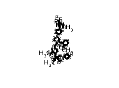 Cc1nc(-c2ccc(Cc3nc(-c4ccccc4C(C)C)c4n3CCN(c3ccc(-c5nc(C(F)(F)F)cn5C)cc3)C4)nc2C(C)C)c2n1CCN(c1ccc(F)cc1)C2